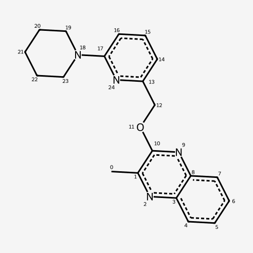 Cc1nc2ccccc2nc1OCc1cccc(N2CCCCC2)n1